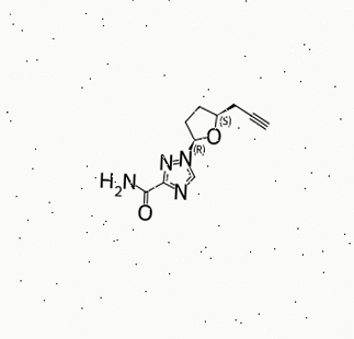 C#CC[C@@H]1CC[C@H](n2cnc(C(N)=O)n2)O1